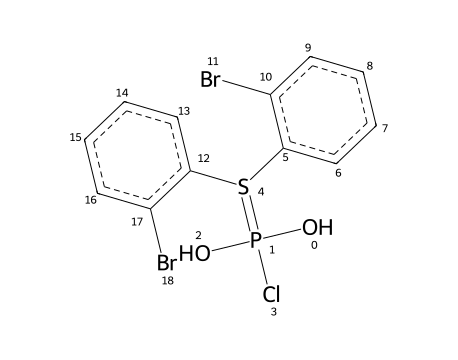 OP(O)(Cl)=S(c1ccccc1Br)c1ccccc1Br